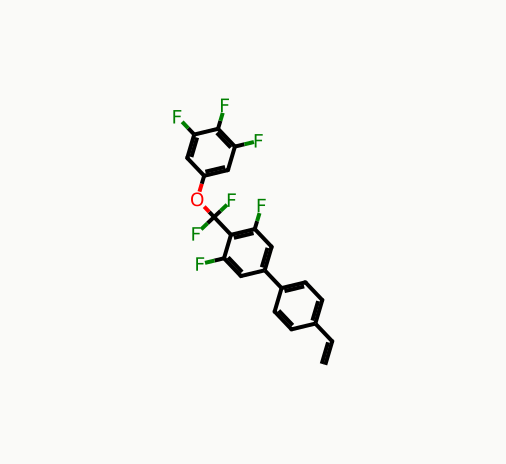 C=Cc1ccc(-c2cc(F)c(C(F)(F)Oc3cc(F)c(F)c(F)c3)c(F)c2)cc1